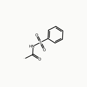 [CH2]C(=O)NS(=O)(=O)c1ccccc1